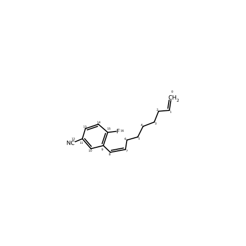 C=CCCCCC/C=C\c1cc(C#N)ccc1F